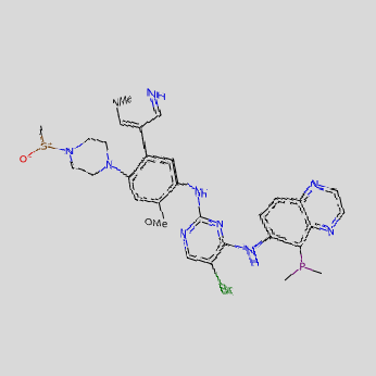 CN/C=C(\C=N)c1cc(Nc2ncc(Br)c(Nc3ccc4nccnc4c3P(C)C)n2)c(OC)cc1N1CCN([S+](C)[O-])CC1